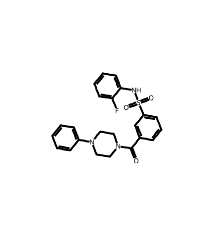 O=C(c1cccc(S(=O)(=O)Nc2ccccc2F)c1)N1CCN(c2ccccc2)CC1